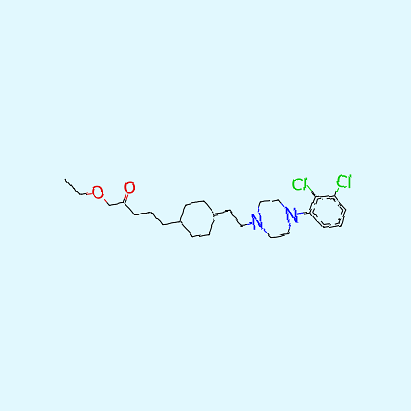 CCOCC(=O)CCCC1CCC(CCN2CCN(c3cccc(Cl)c3Cl)CC2)CC1